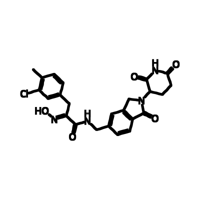 Cc1ccc(C/C(=N\O)C(=O)NCc2ccc3c(c2)CN(C2CCC(=O)NC2=O)C3=O)cc1Cl